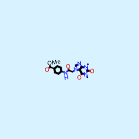 COC(=O)c1ccc(NC(=O)Cn2cnc3c2c(=O)n(C)c(=O)n3C)cc1